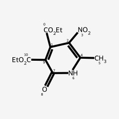 CCOC(=O)c1c([N+](=O)[O-])c(C)[nH]c(=O)c1C(=O)OCC